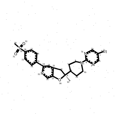 CCc1cnc(N2CCC([C@]3(C)Cc4cc(-c5ccc(S(C)(=O)=O)cc5)ncc4O3)CC2)nc1